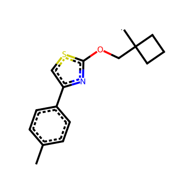 [CH2]C1(COc2nc(-c3ccc(C)cc3)cs2)CCC1